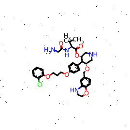 CC(C)[C@H](NC(=O)CN)C(=O)O[C@@H]1CNC[C@H](OCc2ccc3c(c2)NCCO3)C1c1ccc(OCCCOc2ccccc2Cl)cc1